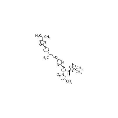 CC(C)c1noc(N2CCC([C@H](C)CCOc3cnc(N4C[C@H](NC(=O)OC(C)(C)C)[C@H](N5C[C@@H](C)CCC5=O)C4)nc3)CC2)n1